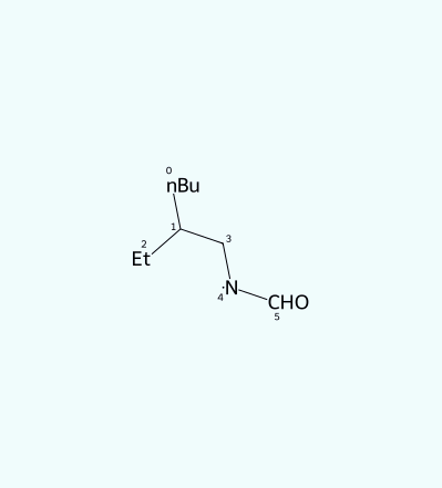 CCCCC(CC)C[N]C=O